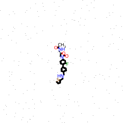 CC(=O)NC[C@H]1CN(c2ccc(-c3ccc(CNCc4cccs4)cc3)c(F)c2)C(=O)O1